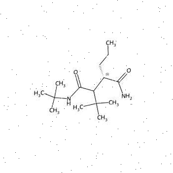 CCC[C@H](C(N)=O)C(C(=O)NC(C)(C)C)C(C)(C)C